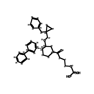 O=C(CCCON(O)O)N1CC[C@H](c2cccc(-c3ccccc3)c2)C(OCC2(Cc3ccccc3)CC2)C1